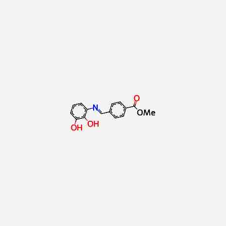 COC(=O)c1ccc(C=Nc2cccc(O)c2O)cc1